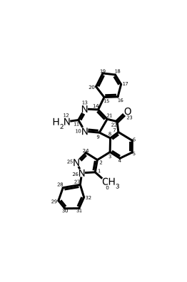 Cc1c(-c2cccc3c2-c2nc(N)nc(-c4ccccc4)c2C3=O)cnn1-c1ccccc1